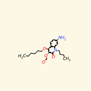 CCCCCCOc1c(OC=O)c(=O)n(CCCC)c2cc(N)ccc12